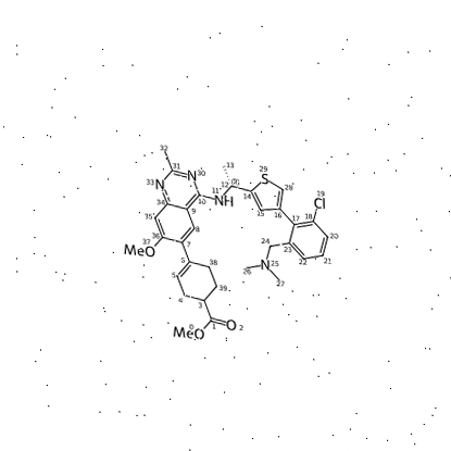 COC(=O)C1CC=C(c2cc3c(N[C@H](C)c4cc(-c5c(Cl)cccc5CN(C)C)cs4)nc(C)nc3cc2OC)CC1